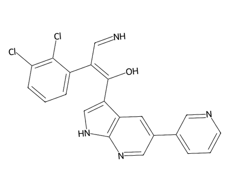 N=C/C(=C(\O)c1c[nH]c2ncc(-c3cccnc3)cc12)c1cccc(Cl)c1Cl